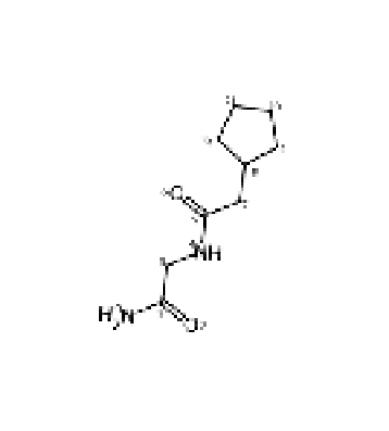 NC(=O)CNC(=O)CC1CCCC1